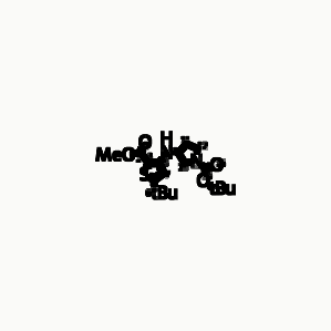 COC(=O)c1sc(C(C)(C)C)cc1N[C@H]1CCN(C(=O)OC(C)(C)C)C1